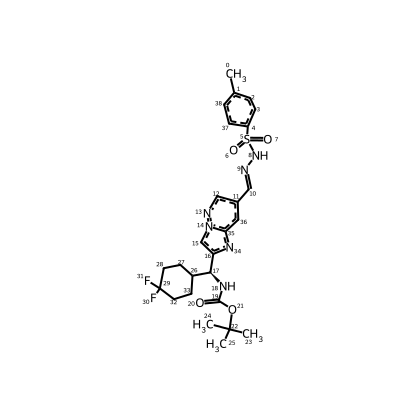 Cc1ccc(S(=O)(=O)N/N=C/c2cnn3cc([C@@H](NC(=O)OC(C)(C)C)C4CCC(F)(F)CC4)nc3c2)cc1